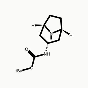 CN1[C@@H]2CC[C@H]1C[C@@H](NC(=O)OC(C)(C)C)C2